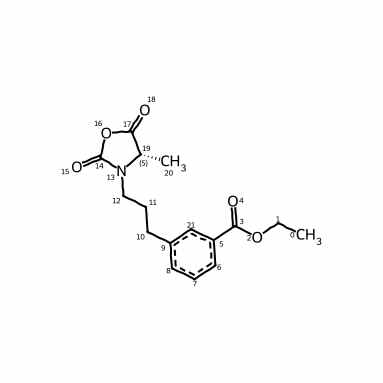 CCOC(=O)c1cccc(CCCN2C(=O)OC(=O)[C@@H]2C)c1